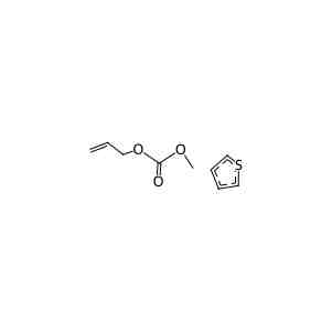 C=CCOC(=O)OC.c1ccsc1